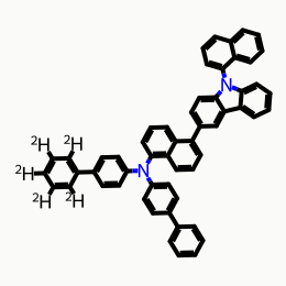 [2H]c1c([2H])c([2H])c(-c2ccc(N(c3ccc(-c4ccccc4)cc3)c3cccc4c(-c5ccc6c(c5)c5ccccc5n6-c5cccc6ccccc56)cccc34)cc2)c([2H])c1[2H]